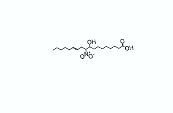 CCCCCC=CCC(C(O)CCCCCCCC(=O)O)[N+](=O)[O-]